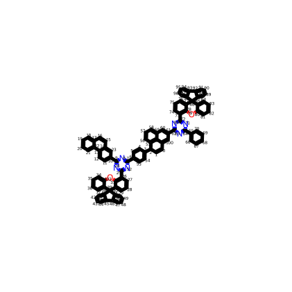 C1=CC(c2ccc(-c3nc(-c4ccc5c(ccc6ccccc65)c4)nc(-c4cccc5c4Oc4ccccc4C54c5ccccc5-c5ccccc54)n3)cc2)c2cccc3cc(-c4nc(-c5ccccc5)nc(-c5cccc6c5Oc5ccccc5C65c6ccccc6-c6ccccc65)n4)cc1c23